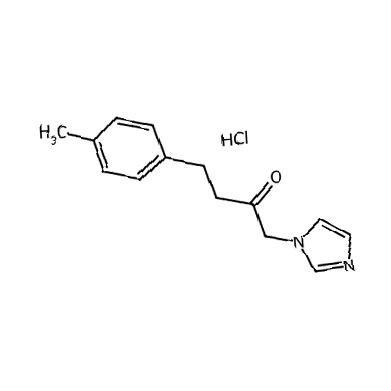 Cc1ccc(CCC(=O)Cn2ccnc2)cc1.Cl